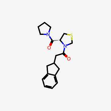 O=C([C@@H]1CSCN1C(=O)CC1Cc2ccccc2C1)N1CCCC1